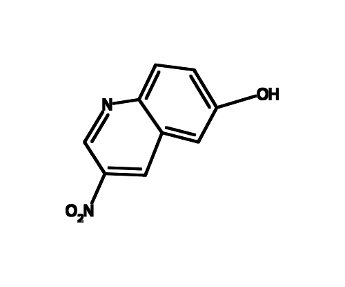 O=[N+]([O-])c1cnc2ccc(O)cc2c1